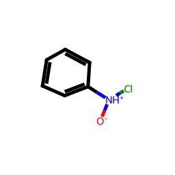 [O-][NH+](Cl)c1ccccc1